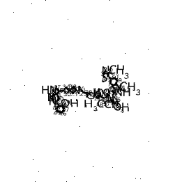 Cc1ncsc1-c1ccc([C@H](C)NC(=O)[C@@H]2C[C@@H](O)CN2C(=O)[C@@H](c2cc(OCCCN3CC4(CC(c5c[nH]c6nnc(-c7ccccc7O)cc56)C4)C3)no2)C(C)C)cc1